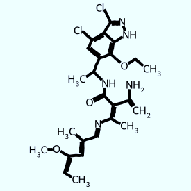 C=C(N)/C(C(=O)NC(C)c1cc(Cl)c2c(Cl)n[nH]c2c1OCC)=C(C)/N=C/C(C)=C/C(=C\C)OC